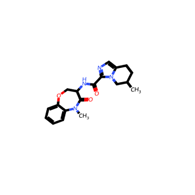 CC1CCc2cnc(C(=O)NC3COc4ccccc4N(C)C3=O)n2C1